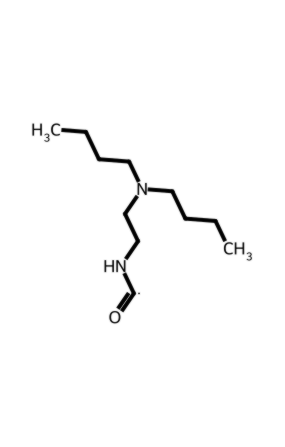 CCCCN(CCCC)CCN[C]=O